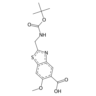 COc1cc2sc(CNC(=O)OC(C)(C)C)nc2cc1C(=O)O